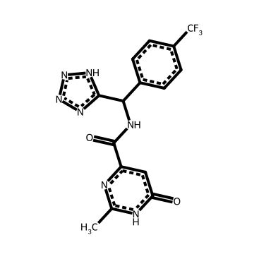 Cc1nc(C(=O)NC(c2ccc(C(F)(F)F)cc2)c2nnn[nH]2)cc(=O)[nH]1